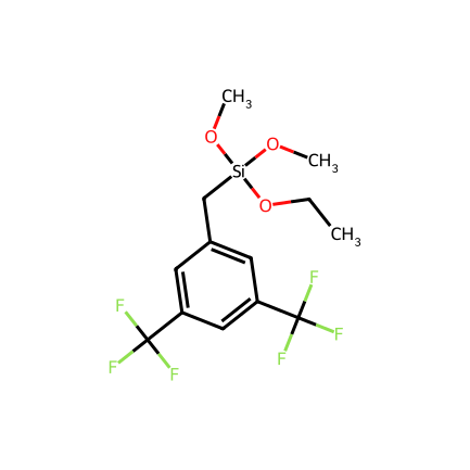 CCO[Si](Cc1cc(C(F)(F)F)cc(C(F)(F)F)c1)(OC)OC